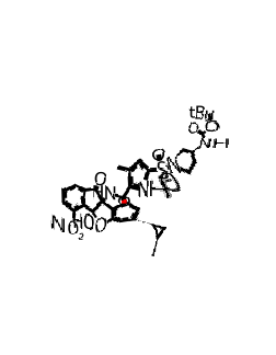 Cc1cc(S(=O)(=O)N2CC[C@H](NC(=O)OC(C)(C)C)C2)[nH]c1C(=O)NC12C(=O)c3cccc([N+](=O)[O-])c3C1(O)Oc1cc([C@@H]3C[C@H]3C)ccc12